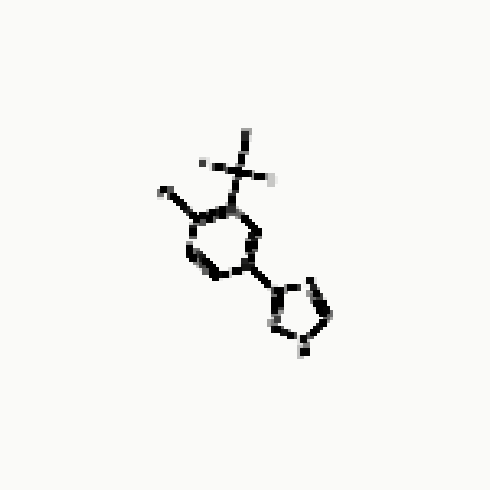 FC(F)(F)c1cc(-c2nc[nH]n2)ccc1Cl